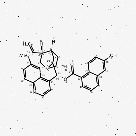 C=C[C@H]1CN2CC[C@H]1C[C@H]2[C@H](OC(=O)c1cccc2cc(O)ccc12)c1ccnc2ccc(OC)cc12